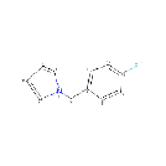 Fc1ccc(Cn2[c]ccc2)cc1